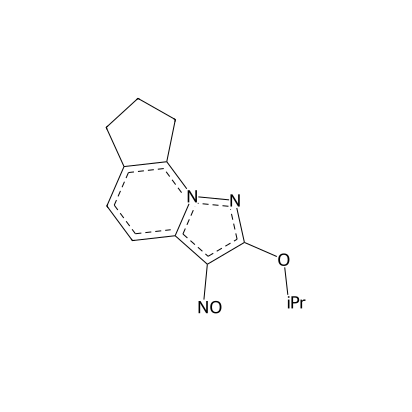 CC(C)Oc1nn2c3c(ccc2c1N=O)CCC3